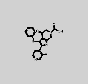 O=C1CN(C(=O)O)Cc2[nH]c(-c3ccncc3F)c(Nc3ccccc3)c21